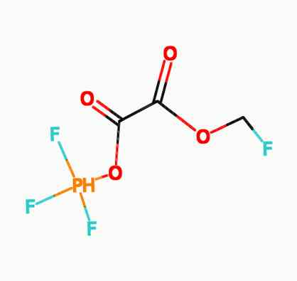 O=C(OCF)C(=O)O[PH](F)(F)F